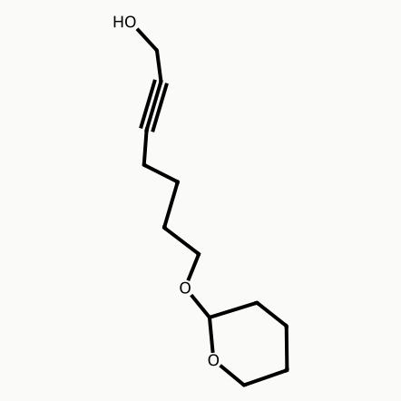 OCC#CCCCCOC1CCCCO1